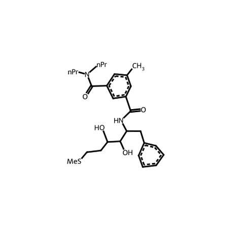 CCCN(CCC)C(=O)c1cc(C)cc(C(=O)NC(Cc2ccccc2)C(O)C(O)CCSC)c1